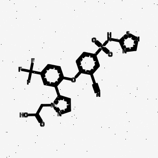 N#Cc1cc(S(=O)(=O)Nc2ncns2)ccc1Oc1ccc(C(F)(F)F)cc1-c1ccnn1CC(=O)O